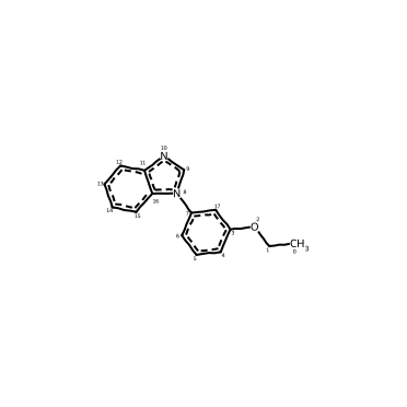 CCOc1cccc(-n2cnc3ccccc32)c1